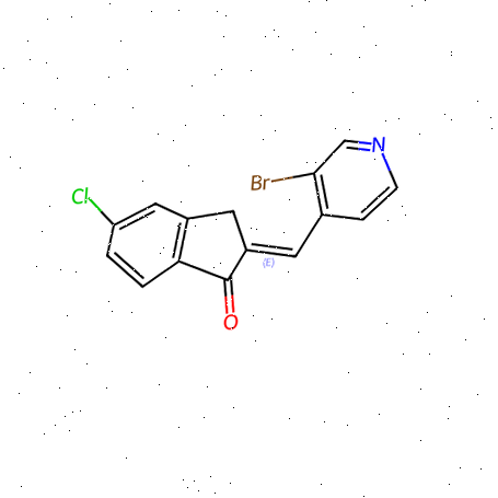 O=C1/C(=C/c2ccncc2Br)Cc2cc(Cl)ccc21